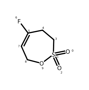 O=S1(=O)CCC(F)=CCO1